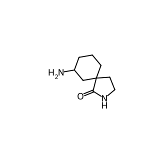 NC1CCCC2(CCNC2=O)C1